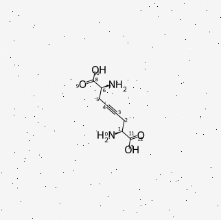 N[C@@H](CC#CC[C@H](N)C(=O)O)C(=O)O